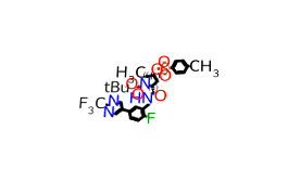 Cc1ccc(S(=O)(=O)O[C@H]2C[C@@H](C(=O)NCc3cc(-c4cnc(C(F)(F)F)nc4)ccc3F)N(C(=O)OC(C)(C)C)[C@H]2C)cc1